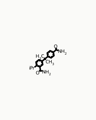 CC(C)c1ccc(C(C)(C)c2ccc(C(N)=O)cc2)cc1C(N)=O